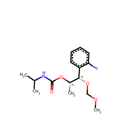 COCO[C@@H](c1ccccc1I)[C@H](C)OC(=O)NC(C)C